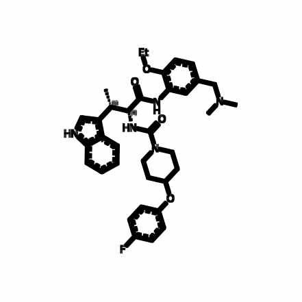 CCOc1ccc(CN(C)C)cc1NC(=O)[C@H](NC(=O)N1CCC(Oc2ccc(F)cc2)CC1)[C@@H](C)c1c[nH]c2ccccc12